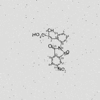 CC(=Cc1ccccc1N1C(=O)c2ccc([N+](=O)[O-])cc2C1=O)C(=O)O